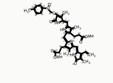 C=CC1=C(C)C(=O)N/C1=C\C1=NC(=C\c2[nH]c(/C=C3\NC(=O)C(CC[S+]([O-])c4ccc(C)cc4)=C3C)c(C)c2CCC(=O)OC)/C(CCC(=O)OC)=C1C